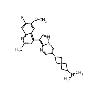 COc1cc2c(-c3cnn4cc(N5CC6(CC(N(C)C)C6)C5)cnc34)cc(C)nc2cc1F